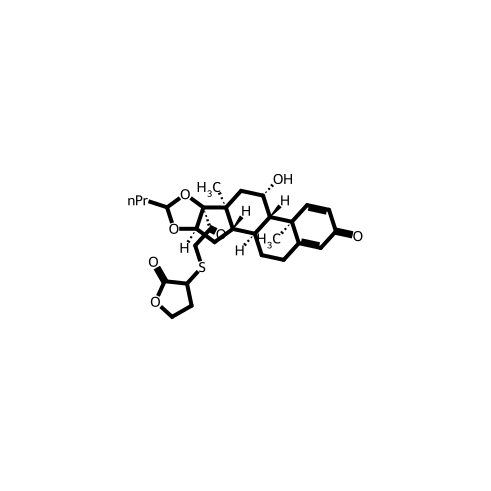 CCCC1O[C@@H]2C[C@H]3[C@@H]4CCC5=CC(=O)C=C[C@]5(C)[C@H]4[C@@H](O)C[C@]3(C)[C@]2(C(=O)CSC2CCOC2=O)O1